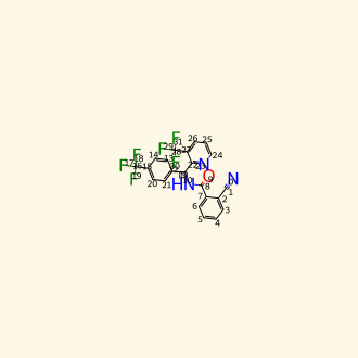 N#Cc1ccccc1C(=O)N[C@@H](c1ccc(C(F)(F)F)cc1)c1ncccc1C(F)(F)F